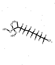 CCCO[Si](OCCC)(OCCC)C(C)C(F)(F)C(F)(F)C(F)(F)C(F)(F)C(F)(F)C(F)(F)C(F)(F)C(F)(F)F